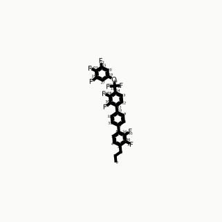 CCCc1ccc(-c2ccc(-c3ccc(C(F)(F)Oc4cc(F)c(F)c(F)c4)c(F)c3F)cc2)c(F)c1F